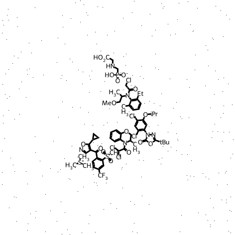 CC(C)Oc1cc(-n2nc(C(C)(C)C)oc2=O)c(Cl)cc1Cl.CC1COc2ccccc2N1C(=O)C(Cl)Cl.CCc1cccc(C)c1N(C(=O)CCl)C(C)COC.CS(=O)(=O)c1cc(C(F)(F)F)ccc1C(=O)c1cnoc1C1CC1.C[S+](C)C.O=C(O)CNCP(=O)([O-])O